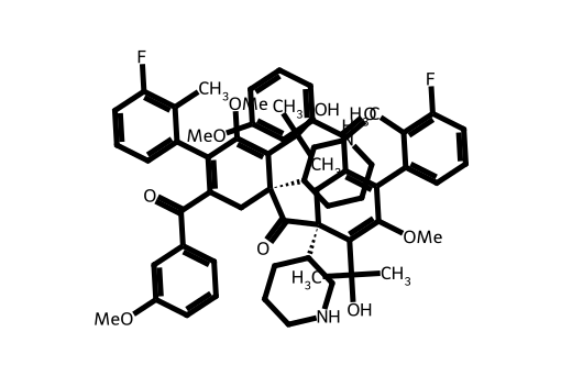 COC1=C(C(C)(C)O)[C@](C(=O)[C@@]2(C3CCCNC3)CC(C(=O)c3cccc(OC)c3)=C(c3cccc(F)c3C)C(OC)=C2C(C)(C)O)(C2CCCNC2)CC(C(=O)c2cccc(OC)c2)=C1c1cccc(F)c1C